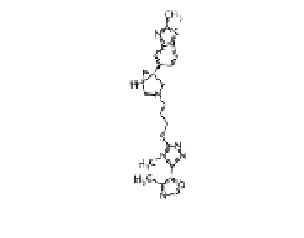 Cc1nc2cc([C@]34C[C@H]3CN(CCCSc3nnc(-c5ocnc5C)n3C)C4)ccc2s1